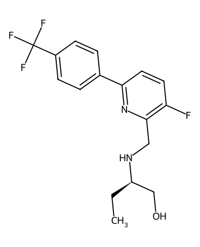 CC[C@H](CO)NCc1nc(-c2ccc(C(F)(F)F)cc2)ccc1F